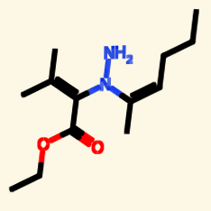 CCC/C=C(/C)N(N)C(C(=O)OCC)=C(C)C